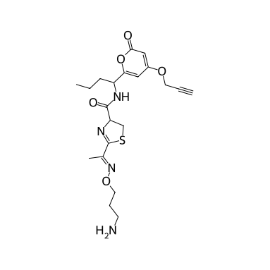 C#CCOc1cc(C(CCC)NC(=O)C2CSC(/C(C)=N/OCCCN)=N2)oc(=O)c1